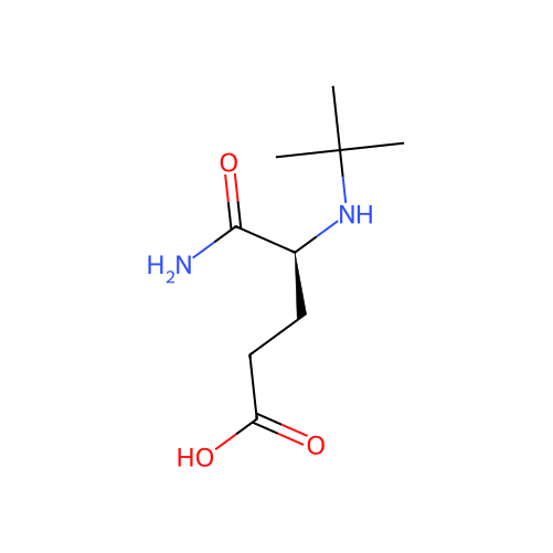 CC(C)(C)N[C@@H](CCC(=O)O)C(N)=O